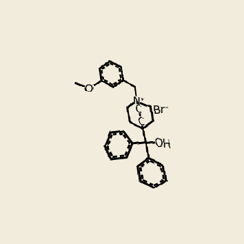 COc1cccc(C[N+]23CCC(C(O)(c4ccccc4)c4ccccc4)(CC2)CC3)c1.[Br-]